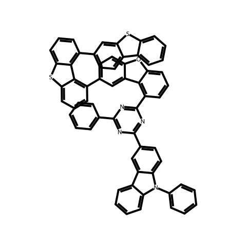 c1ccc(-c2nc(-c3ccc4c(c3)c3ccccc3n4-c3ccccc3)nc(-c3cccc4oc5ccc(-c6cccc7sc8cccc(-c9ccc%10c(c9)sc9ccccc9%10)c8c67)cc5c34)n2)cc1